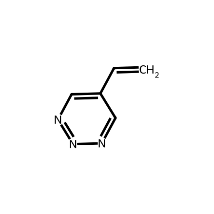 C=Cc1cnnnc1